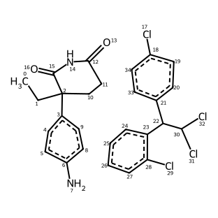 CCC1(c2ccc(N)cc2)CCC(=O)NC1=O.Clc1ccc(C(c2ccccc2Cl)C(Cl)Cl)cc1